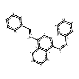 C(=N/c1ccc(/N=C/c2ccccc2)c2ccccc12)/c1ccccc1